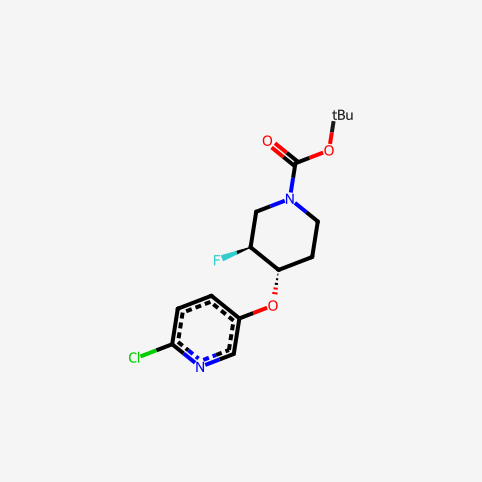 CC(C)(C)OC(=O)N1CC[C@H](Oc2ccc(Cl)nc2)[C@@H](F)C1